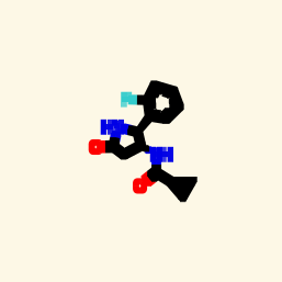 O=C1C[C@@H](NC(=O)C2CC2)[C@H](c2ccccc2F)N1